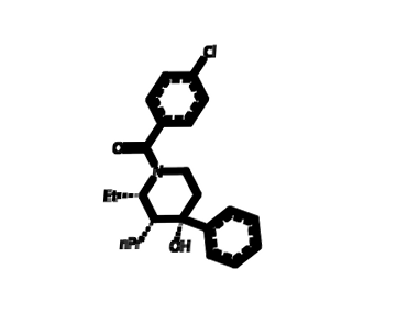 CCC[C@@H]1[C@H](CC)N(C(=O)c2ccc(Cl)cc2)CC[C@@]1(O)c1ccccc1